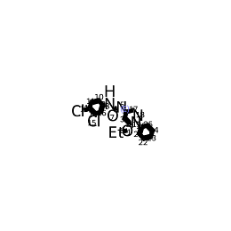 CCOc1c/c(=N\C(=O)Nc2ccc(Cl)c(Cl)c2)cnn1-c1ccccc1